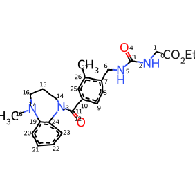 CCOC(=O)CNC(=O)NCc1ccc(C(=O)N2CCCN(C)c3ccccc32)cc1C